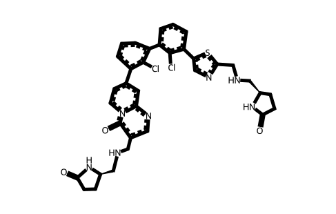 O=C1CC[C@H](CNCc2ncc(-c3cccc(-c4cccc(-c5ccn6c(=O)c(CNC[C@H]7CCC(=O)N7)cnc6c5)c4Cl)c3Cl)s2)N1